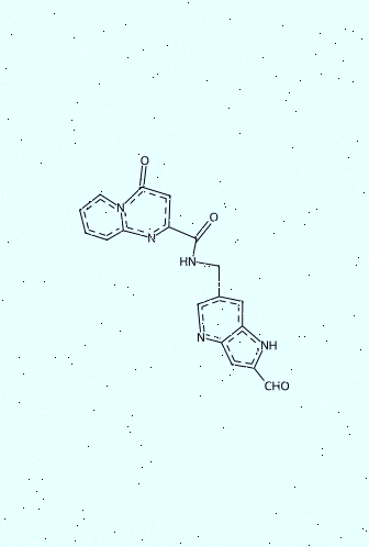 O=Cc1cc2ncc(CNC(=O)c3cc(=O)n4ccccc4n3)cc2[nH]1